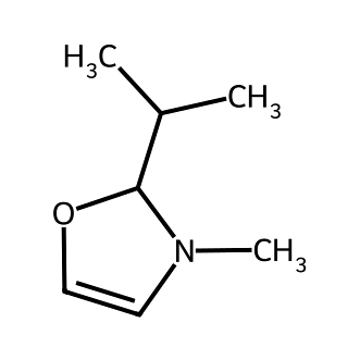 CC(C)C1OC=CN1C